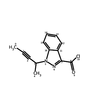 CC#CC(C)n1nc(C(=O)Cl)c2ccccc21